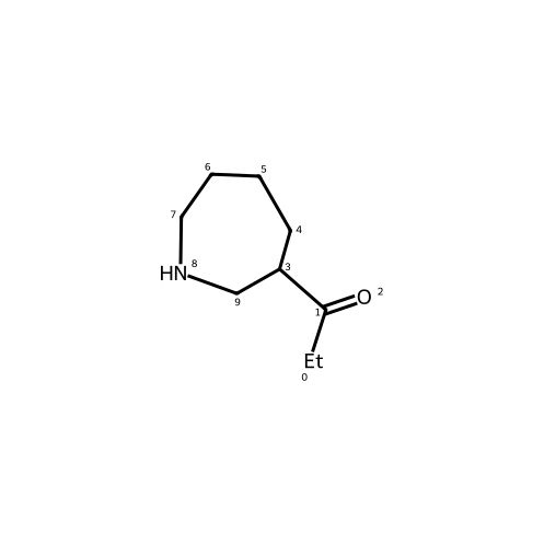 CCC(=O)C1CCCCNC1